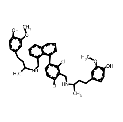 COc1cc(CCC(C)NCc2c(Cl)ccc(-c3cccc4cccc(CNC(C)CCc5ccc(O)c(OC)c5)c34)c2Cl)ccc1O